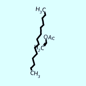 C=COC(C)=O.CCCCCCCCCCCCCC